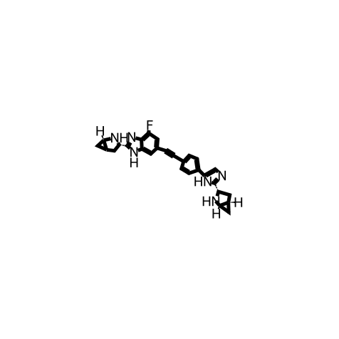 Fc1cc(C#Cc2ccc(-c3cnc([C@@H]4C[C@H]5C[C@H]5N4)[nH]3)cc2)cc2[nH]c([C@@H]3CC4C[C@H]4N3)nc12